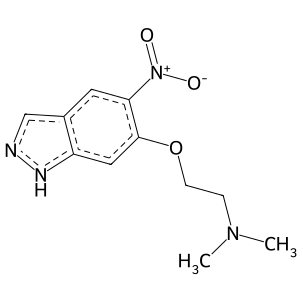 CN(C)CCOc1cc2[nH]ncc2cc1[N+](=O)[O-]